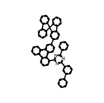 c1ccc(-c2cccc(-c3nc(-c4ccccc4)nc(-c4cccc5c6ccccc6c6cc(-c7ccc8c(c7)C7(c9ccccc9-c9ccccc97)c7ccccc7-8)ccc6c45)n3)c2)cc1